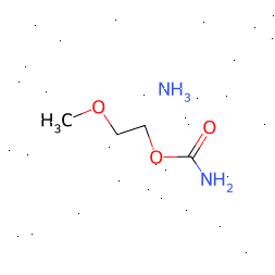 COCCOC(N)=O.N